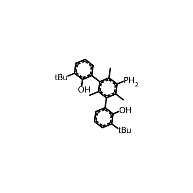 Cc1c(P)c(C)c(-c2cccc(C(C)(C)C)c2O)c(C)c1-c1cccc(C(C)(C)C)c1O